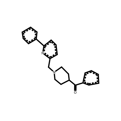 O=C(c1ccccc1)C1CCN(Cc2cccc(-c3ccccc3)n2)CC1